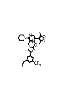 Cc1noc(C)c1-c1cnc(N2CCCCC2)c(CN2C(=O)OC(c3cc(CF)cc(C(F)(F)F)c3)[C@@H]2C)n1